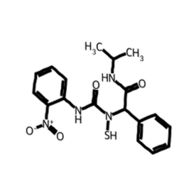 CC(C)NC(=O)C(c1ccccc1)N(S)C(=O)Nc1ccccc1[N+](=O)[O-]